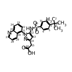 CC(C)(C)c1ccc(S(=O)(=O)Nc2cc(CC(=O)O)nn2-c2cccc3ncccc23)cc1